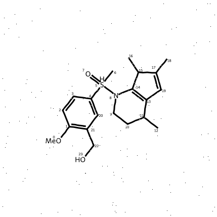 COc1ccc([SH](C)(=O)N2CCC(C)C3=C2C(C)C(C)=C3)cc1CO